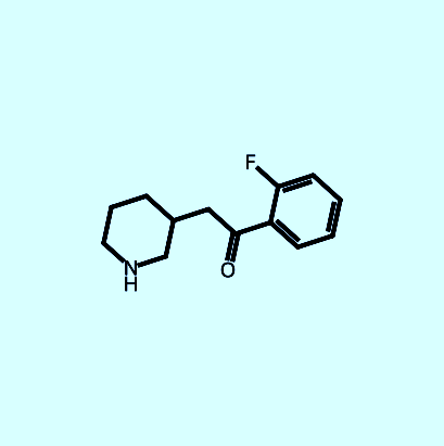 O=C(CC1CCCNC1)c1ccccc1F